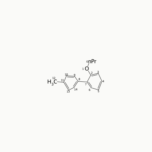 CCCOc1ccccc1-c1ccc(C)cc1